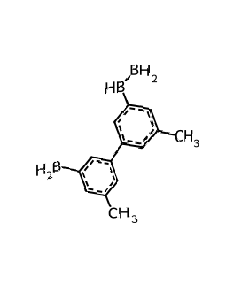 BBc1cc(C)cc(-c2cc(B)cc(C)c2)c1